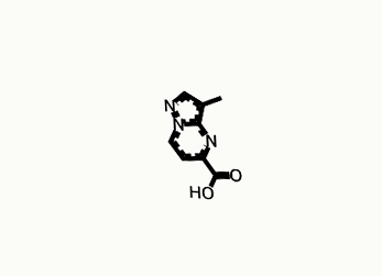 Cc1cnn2ccc(C(=O)O)nc12